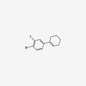 Fc1cc(C2=CCCCC2)ccc1Br